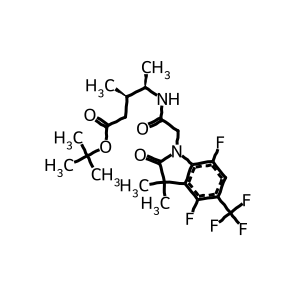 C[C@H](CC(=O)OC(C)(C)C)[C@@H](C)NC(=O)CN1C(=O)C(C)(C)c2c(F)c(C(F)(F)F)cc(F)c21